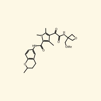 COCC1(NC(=O)C(=O)c2c(C)c(C(=O)Nc3ccc4c(c3)CCC(C)O4)n(C)c2C)COC1